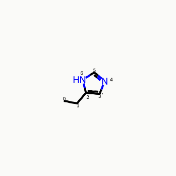 CCc1[c]nc[nH]1